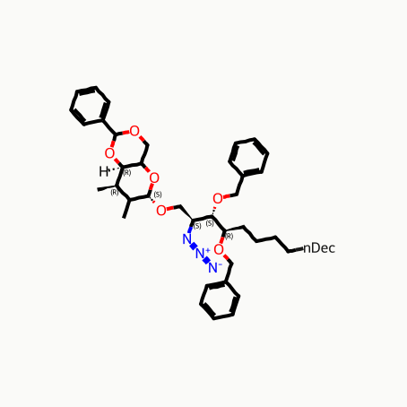 CCCCCCCCCCCCCC[C@@H](OCc1ccccc1)[C@@H](OCc1ccccc1)[C@H](CO[C@H]1OC2COC(c3ccccc3)O[C@@H]2[C@H](C)C1C)N=[N+]=[N-]